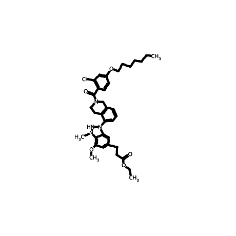 CCCCCCCOc1ccc(C(=O)N2CCc3c(cccc3N3NN(C)c4c(OC)cc(CCC(=O)OCC)cc43)C2)c(Cl)c1